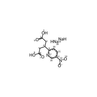 O=C(O)CC(CC(=O)O)c1ccc([N+](=O)[O-])cn1.[NaH].[NaH]